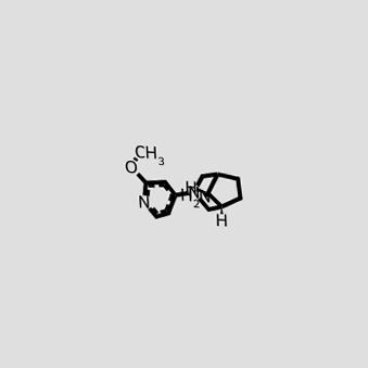 COc1cc(N2CC3CC[C@@H](C2)[C@@H]3N)ccn1